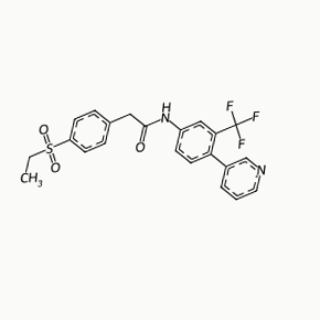 CCS(=O)(=O)c1ccc(CC(=O)Nc2ccc(-c3cccnc3)c(C(F)(F)F)c2)cc1